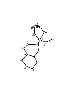 CC(C)O[Si](OC(C)C)(OC(C)C)N1CCC2CCCCC2C1